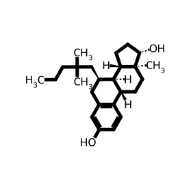 CCCC(C)(C)C[C@@H]1Cc2cc(O)ccc2[C@H]2CC[C@]3(C)[C@@H](O)CC[C@H]3[C@H]12